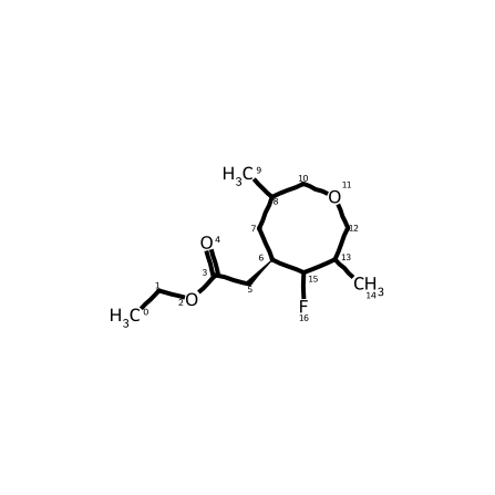 CCOC(=O)C[C@H]1CC(C)COCC(C)C1F